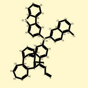 C=C/C=C1\C2=C(C)c3cccc(c3-c3cc(N(c4ccc5c(C)cccc5c4)c4ccc5sc6ccccc6c5c4)ccc31)C1=C2C=CCC=C1